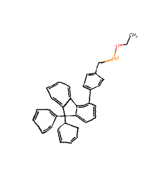 CCOPCc1ccc(-c2cccc3c2-c2ccccc2C3(c2ccccc2)C2C=CC=CC2)cc1